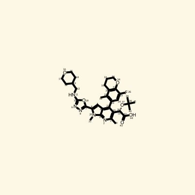 Cc1nc2c(cc(-c3nnc(NCC4CCOCC4)o3)n2C)c(-c2cc(F)c3c(c2C)CCCO3)c1[C@H](OC(C)(C)C)C(=O)O